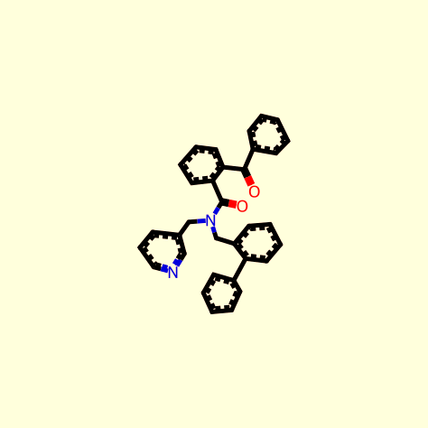 O=C(c1ccccc1)c1ccccc1C(=O)N(Cc1cccnc1)Cc1ccccc1-c1ccccc1